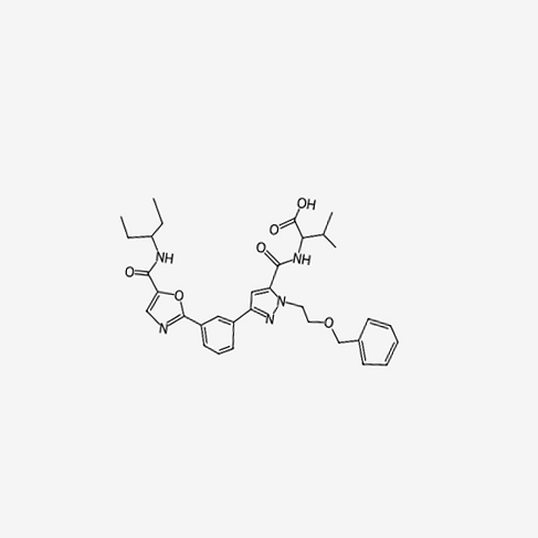 CCC(CC)NC(=O)c1cnc(-c2cccc(-c3cc(C(=O)NC(C(=O)O)C(C)C)n(CCOCc4ccccc4)n3)c2)o1